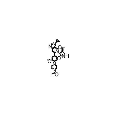 COc1cc(-c2cc3ncn(C4CC4)c3c(O[C@H](C)[C@H]3CNC(=O)C3)n2)ccc1N1CCN(C(C)=O)CC1